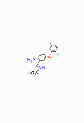 Cc1ccc(F)c(Oc2ccc(N)c(CNC(=O)O)c2)c1